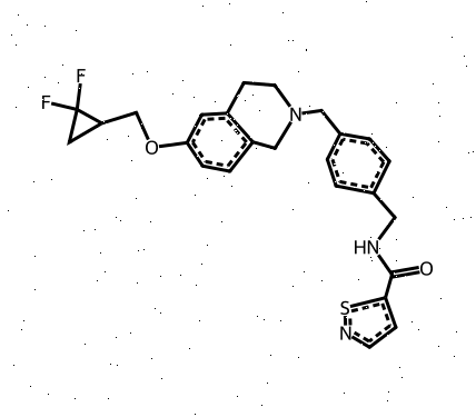 O=C(NCc1ccc(CN2CCc3cc(OCC4CC4(F)F)ccc3C2)cc1)c1ccns1